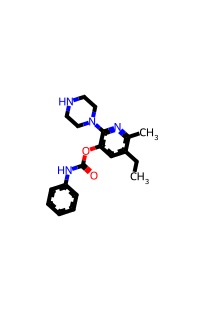 CCc1cc(OC(=O)Nc2ccccc2)c(N2CCNCC2)nc1C